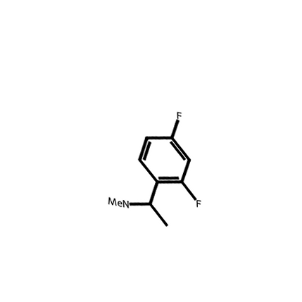 CNC(C)c1ccc(F)cc1F